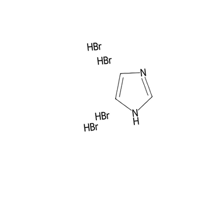 Br.Br.Br.Br.c1c[nH]cn1